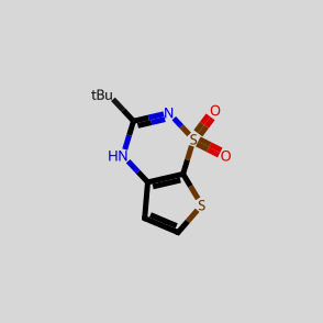 CC(C)(C)C1=NS(=O)(=O)c2sccc2N1